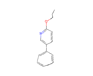 CCOc1ccc(-c2ccccc2)cn1